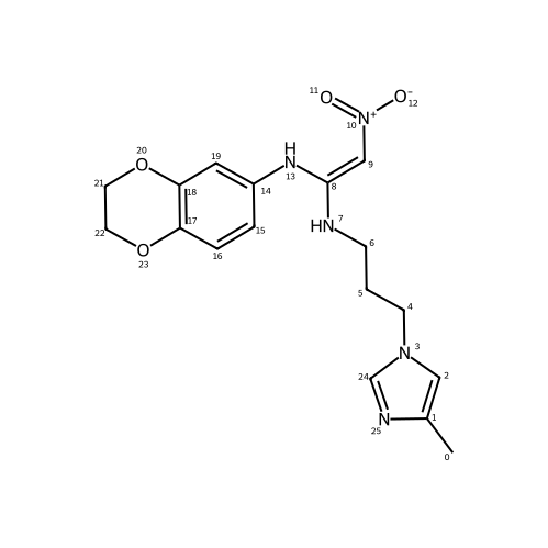 Cc1cn(CCCN/C(=C/[N+](=O)[O-])Nc2ccc3c(c2)OCCO3)cn1